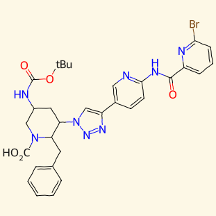 CC(C)(C)OC(=O)NC1CC(n2cc(-c3ccc(NC(=O)c4cccc(Br)n4)nc3)nn2)C(Cc2ccccc2)N(C(=O)O)C1